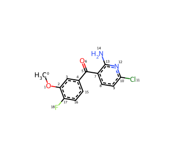 COc1cc(C(=O)c2ccc(Cl)nc2N)ccc1F